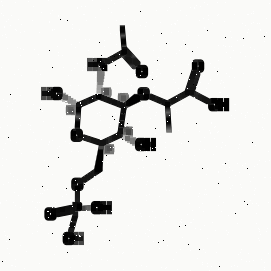 CC(=O)N[C@@H]1[C@@H](OC(C)C(=O)O)[C@H](O)[C@@H](COP(=O)(O)O)O[C@@H]1O